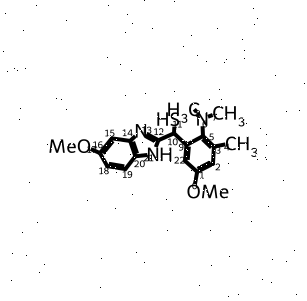 COc1cc(C)c(N(C)C)c(C(S)c2nc3cc(OC)ccc3[nH]2)c1